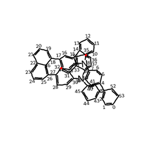 c1ccc(-c2ccc(-n3c4ccccc4c4cc(-c5cccc6cccc(-c7ccc8c(c7)c7ccccc7n8-c7ccccc7)c56)ccc43)cc2)cc1